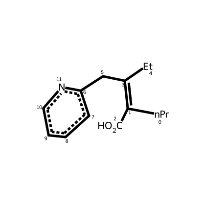 CCCC(C(=O)O)=C(CC)Cc1ccccn1